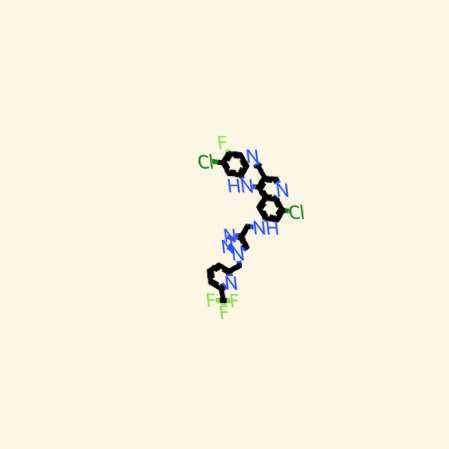 N#Cc1cnc2c(Cl)cc(NCc3cn(Cc4cccc(C(F)(F)F)n4)nn3)cc2c1Nc1ccc(F)c(Cl)c1